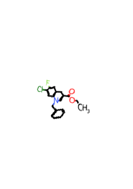 CCOC(=O)C1=CN(Cc2ccccc2)c2cc(Cl)c(F)cc2C1